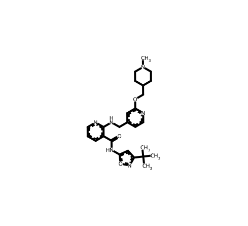 CN1CCC(COc2cc(CNc3ncccc3C(=O)Nc3cc(C(C)(C)C)no3)ccn2)CC1